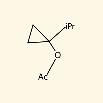 CC(=O)OC1(C(C)C)CC1